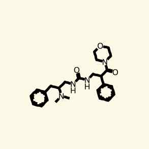 CN(C)C(CNC(=O)NCC(C(=O)N1CCOCC1)c1ccccc1)Cc1ccccc1